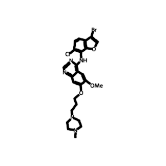 COc1cc2c(Nc3c(Cl)ccc4c(Br)coc34)ncnc2cc1OCCCN1CCN(C)CC1